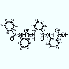 O=C(Nc1ccccc1C(=O)Nc1ccccc1C(=O)Nc1ccccc1C(=O)O)c1ccccc1